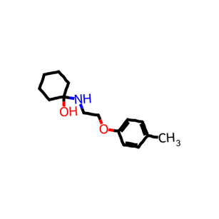 Cc1ccc(OCCNC2(O)CCCCC2)cc1